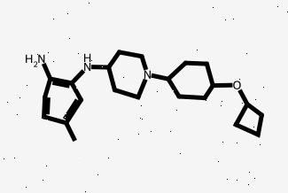 Cc1ccc(N)c(NC2CCN(C3CCC(OC4CCC4)CC3)CC2)c1